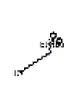 CCC(CC/C=C\CCCCCCCCCCCCCO)O[Si](c1ccccc1)(c1ccccc1)C(C)(C)C